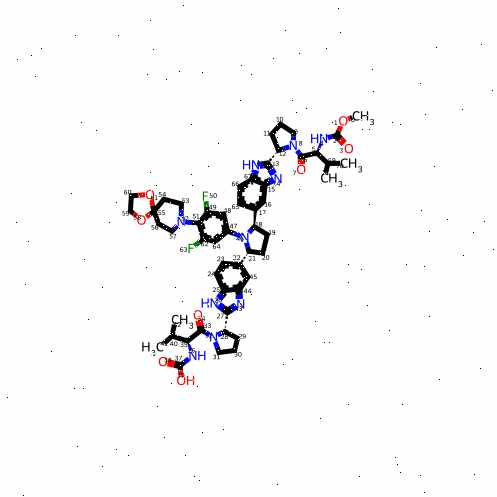 COC(=O)N[C@H](C(=O)N1CCC[C@H]1c1nc2cc([C@H]3CC[C@H](c4ccc5[nH]c([C@@H]6CCCN6C(=O)[C@@H](NC(=O)O)C(C)C)nc5c4)N3c3cc(F)c(N4CCC5(CC4)OCCO5)c(F)c3)ccc2[nH]1)C(C)C